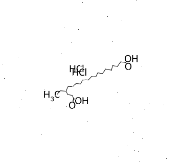 CCC(CCCCCCCCCCCCCCCC(=O)O)CCC(=O)O.Cl.Cl